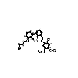 COc1cc(OCc2cccc(-c3cccc(OCCCBr)c3C)c2C)c(Cl)cc1C=O